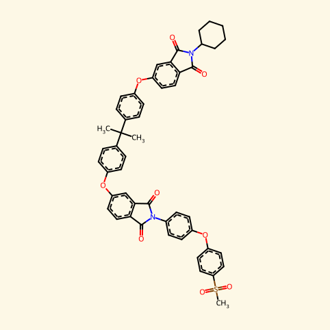 CC(C)(c1ccc(Oc2ccc3c(c2)C(=O)N(c2ccc(Oc4ccc(S(C)(=O)=O)cc4)cc2)C3=O)cc1)c1ccc(Oc2ccc3c(c2)C(=O)N(C2CCCCC2)C3=O)cc1